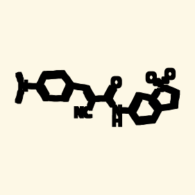 CN(C)c1ccc(/C=C(\C#N)C(=O)Nc2ccc3c(c2)S(=O)(=O)C=C3)cc1